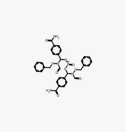 NC(=O)c1ccc(C(O[PH](=O)OC(c2ccc(C(N)=O)cc2)N(C=O)OCc2ccccc2)N(C=O)OCc2ccccc2)cc1